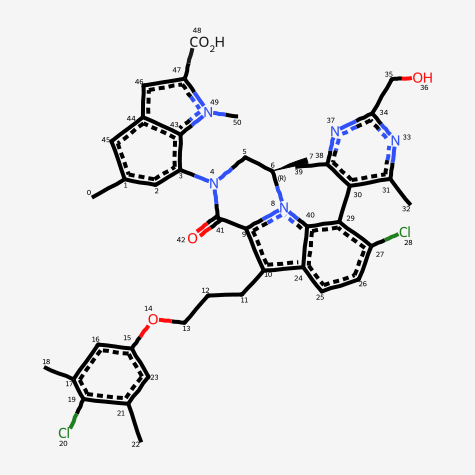 Cc1cc(N2C[C@@H](C)n3c(c(CCCOc4cc(C)c(Cl)c(C)c4)c4ccc(Cl)c(-c5c(C)nc(CO)nc5C)c43)C2=O)c2c(c1)cc(C(=O)O)n2C